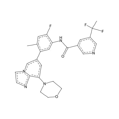 Cc1cc(F)c(NC(=O)c2cncc(C(C)(F)F)c2)cc1-c1cc(N2CCOCC2)c2nccn2c1